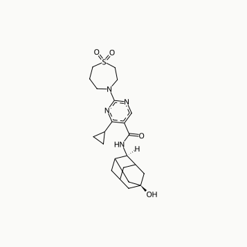 O=C(N[C@H]1C2CC3CC1C[C@@](O)(C3)C2)c1cnc(N2CCCS(=O)(=O)CC2)nc1C1CC1